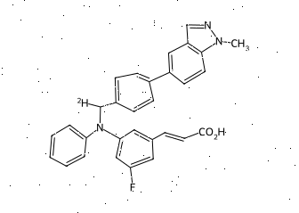 [2H]C(c1ccc(-c2ccc3c(cnn3C)c2)cc1)N(c1ccccc1)c1cc(F)cc(/C=C/C(=O)O)c1